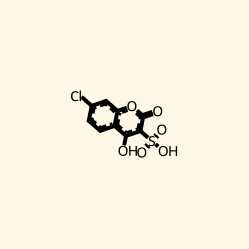 O=c1oc2cc(Cl)ccc2c(O)c1S(=O)(=O)O